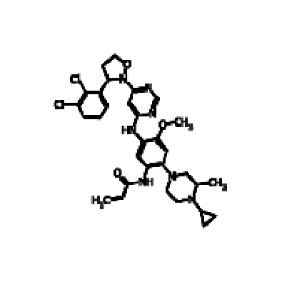 C=CC(=O)Nc1cc(Nc2cc(N3OCC[C@@H]3c3cccc(Cl)c3Cl)ncn2)c(OC)cc1N1CCN(C2CC2)[C@H](C)C1